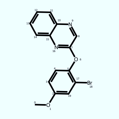 COc1ccc(Oc2cnc3ccccc3n2)c(Br)c1